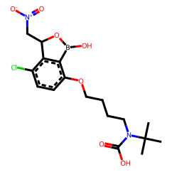 CC(C)(C)N(CCCCOc1ccc(Cl)c2c1B(O)OC2C[N+](=O)[O-])C(=O)O